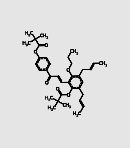 CC=CCc1cc(CC=CC)c(OC(=O)C(C)(C)C)c(C=CC(=O)c2ccc(OC(=O)C(C)(C)C)cc2)c1OCCC